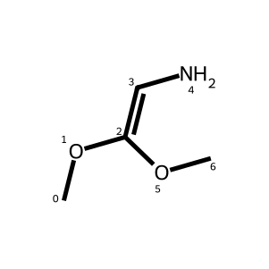 COC(=CN)OC